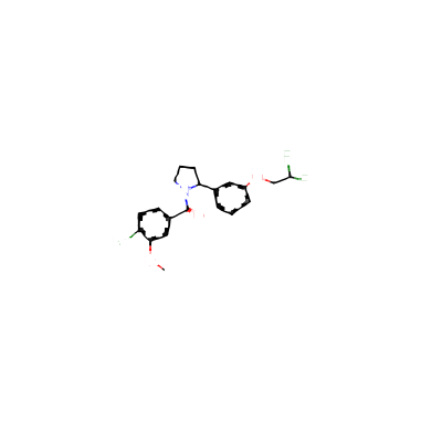 COc1cc(C(=O)N2CCCC2c2cccc(OCC(F)F)c2)ccc1Br